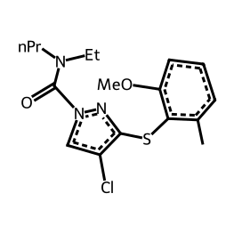 CCCN(CC)C(=O)n1cc(Cl)c(Sc2c(C)cccc2OC)n1